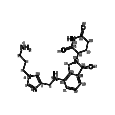 NCCCn1cnc(CNc2cccc3c2CN(C2CCC(=O)NC2=O)C3=O)c1